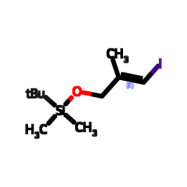 C/C(=C\I)CO[Si](C)(C)C(C)(C)C